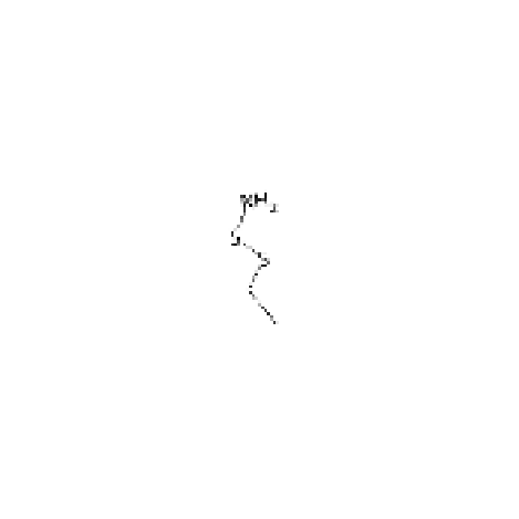 CCSSN